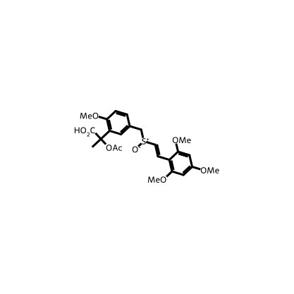 COc1cc(OC)c(C=C[S+]([O-])Cc2ccc(OC)c(C(C)(OC(C)=O)C(=O)O)c2)c(OC)c1